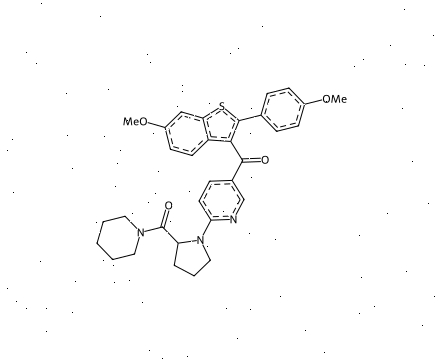 COc1ccc(-c2sc3cc(OC)ccc3c2C(=O)c2ccc(N3CCCC3C(=O)N3CCCCC3)nc2)cc1